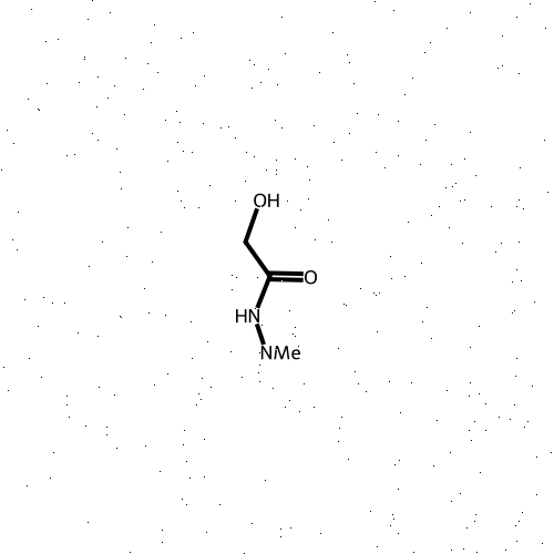 CNNC(=O)CO